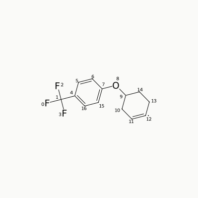 FC(F)(F)c1ccc(OC2CC=[C]CC2)cc1